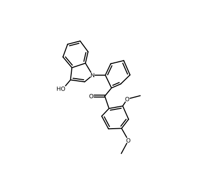 COc1ccc(C(=O)c2ccccc2-n2cc(O)c3ccccc32)c(OC)c1